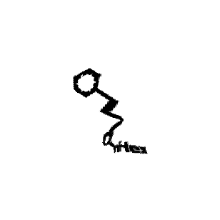 CCCCCCOCC=Cc1ccccc1